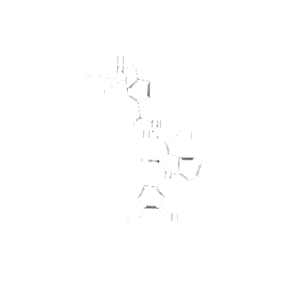 C/C(NNC(=O)c1ccc(Cl)c([SH](C)(N)=O)c1)=C1/C(=O)N(c2ccc(C)c(C)c2)c2ccccc21